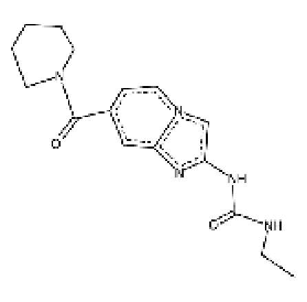 CCNC(=O)Nc1cn2ccc(C(=O)N3CCCCC3)cc2n1